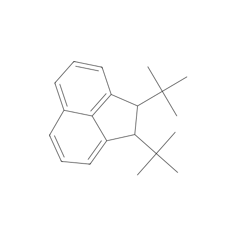 CC(C)(C)C1c2cccc3cccc(c23)C1C(C)(C)C